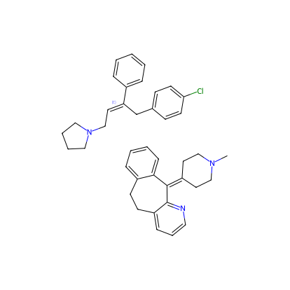 CN1CCC(=C2c3ccccc3CCc3cccnc32)CC1.Clc1ccc(C/C(=C\CN2CCCC2)c2ccccc2)cc1